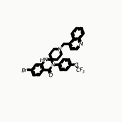 O=C1c2ccc(Br)cc2NC2(CCN(Cc3ccnc4ccccc34)CC2)N1c1ccc(OC(F)(F)F)cc1